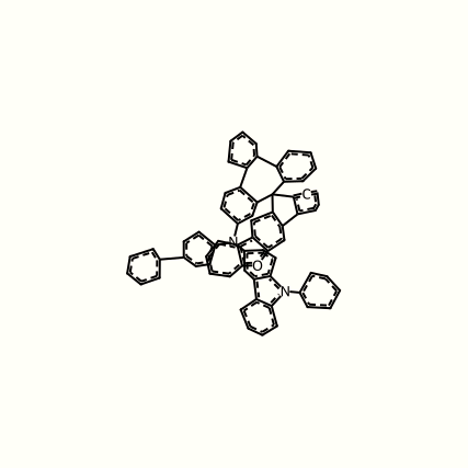 c1ccc(-c2ccc(N(c3ccc4c(c3)C3(c5ccccc5-c5ccccc5-4)c4ccccc4-c4cc5oc6ccccc6c5cc43)c3ccc4c(c3)c3ccccc3n4-c3ccccc3)cc2)cc1